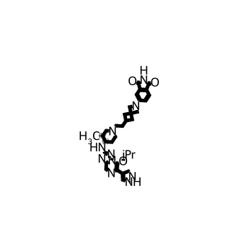 CC(C)Oc1c(-c2cn[nH]c2)ncc2nc(N[C@H]3CCN(CCC4CC5(C4)CN(c4ccc6c(c4)C(=O)NC6=O)C5)C[C@H]3C)nn12